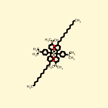 CCCCCCCCCCCCc1ccc(C(c2ccc(N(C)C)cc2)(c2ccc(N(C)C)cc2)S(=O)(=O)C(c2ccc(CCCCCCCCCCCC)cc2)(c2ccc(N(C)C)cc2)c2ccc(N(C)C)cc2)cc1